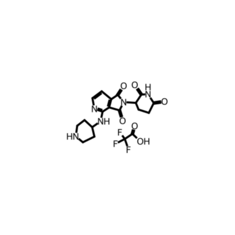 O=C(O)C(F)(F)F.O=C1CCC(N2C(=O)c3ccnc(NC4CCNCC4)c3C2=O)C(=O)N1